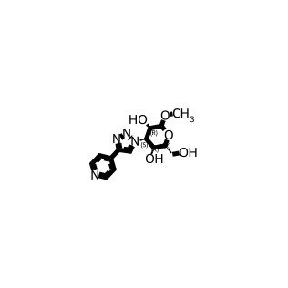 COC1O[C@H](CO)[C@H](O)[C@H](n2cc(-c3ccncc3)nn2)[C@H]1O